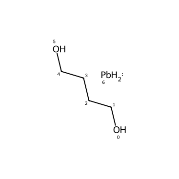 OCCCCO.[PbH2]